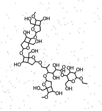 CCOC1OC(CO)C(OC(O)C(O)C(O)C(OC2CC3C(O)C(OC)C3(CO)O2)C(C)COC2CC3C(O)C(OC4CC5C(O)C(OC6CC7C(O)C(OC)C7(CO)O6)C5(CO)O4)C3(CO)O2)C(O)C1O